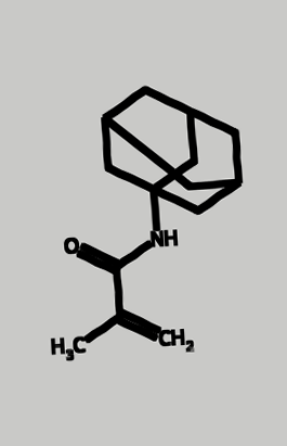 C=C(C)C(=O)NC12CC3CC(CC(C3)C1)C2